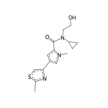 Cc1nc(-c2cc(C(=O)N(CCO)C3CC3)n(C)c2)cs1